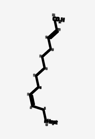 CCCCCCCC/C=C\CCCCCC=CC(=O)O